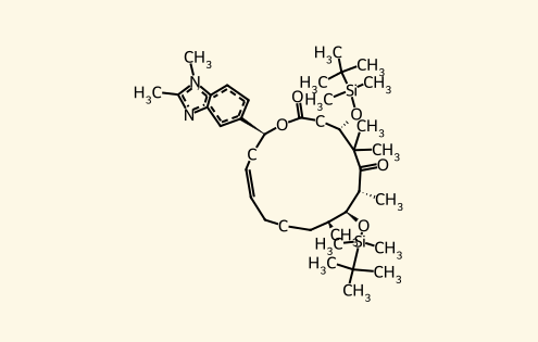 Cc1nc2cc([C@@H]3CC=CCCC[C@H](C)[C@H](O[Si](C)(C)C(C)(C)C)[C@@H](C)C(=O)C(C)(C)[C@@H](O[Si](C)(C)C(C)(C)C)CC(=O)O3)ccc2n1C